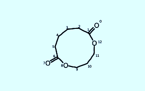 O=C1CCCCC(=O)OCCCO1